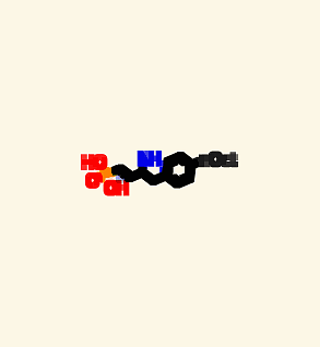 CCCCCCCCc1ccc(CC(N)/C=C/P(=O)(O)O)cc1